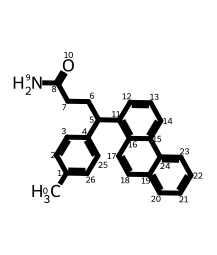 Cc1ccc(C(CCC(N)=O)c2cccc3c2ccc2ccccc23)cc1